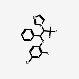 FC(F)(F)C(C(Sc1ccc(Cl)cc1Cl)c1ccccc1)n1ccnc1